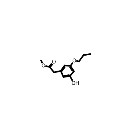 CCCOc1cc(O)cc(CC(=O)OC)c1